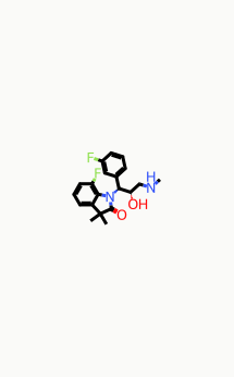 CNC[C@H](O)[C@H](c1cccc(F)c1)N1C(=O)C(C)(C)c2cccc(F)c21